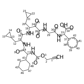 C#CCOC(=O)NC(C(=O)NC(CC1CC1)C(=O)NC(CC1CC1)C(=O)C(=O)NCC(=O)NC(C(=O)O)c1ccccc1)C1CCCCC1